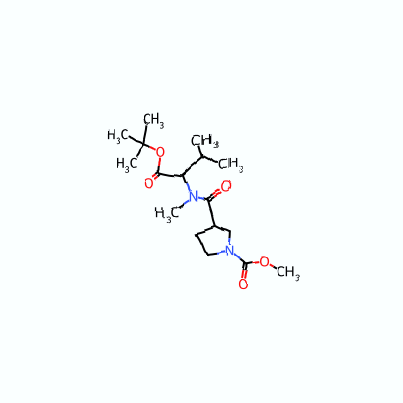 COC(=O)N1CCC(C(=O)N(C)C(C(=O)OC(C)(C)C)C(C)C)C1